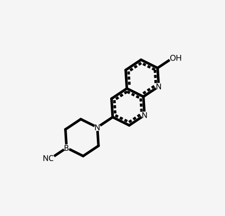 N#CB1CCN(c2cnc3nc(O)ccc3c2)CC1